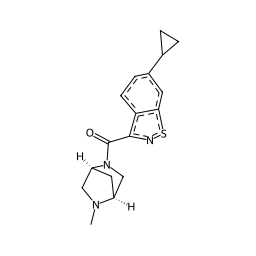 CN1C[C@@H]2C[C@H]1CN2C(=O)c1nsc2cc(C3CC3)ccc12